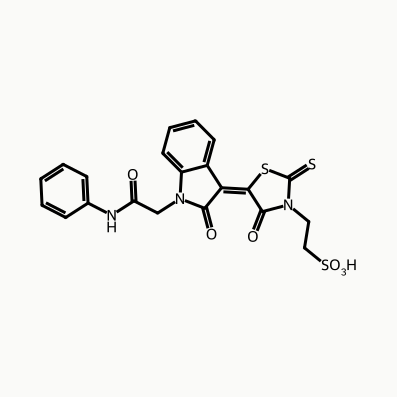 O=C(CN1C(=O)C(=C2SC(=S)N(CCS(=O)(=O)O)C2=O)c2ccccc21)Nc1ccccc1